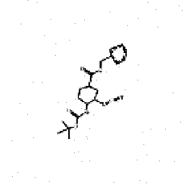 CC(C)(C)OC(=O)NC1CCC(C(=O)OCc2ccccc2)CC1N=[N+]=[N-]